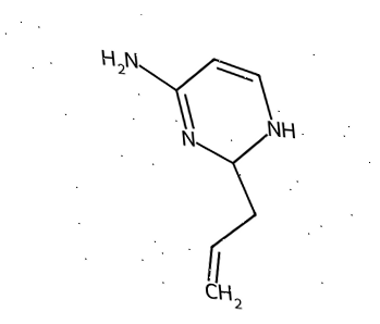 C=CCC1N=C(N)C=CN1